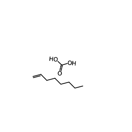 C=CCCCCCC.O=C(O)O